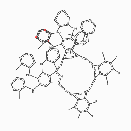 Cc1ccccc1Nc1cc2c(c(Nc3ccccc3C)c1Nc1ccccc1C)-c1nc-2nc2[nH]c(nc3nc(nc4c5c(Nc6ccccc6C)c(Nc6ccccc6C)c(Nc6ccccc6C)c(Nc6ccccc6C)c5c(n1)n4Nc1ccccc1C)-c1c(F)c(F)c(F)c(F)c1-3)c1c(F)c(F)c(F)c(F)c21